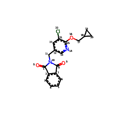 O=C1c2ccccc2C(=O)N1Cc1cnc(OCC2CC2)c(Cl)c1